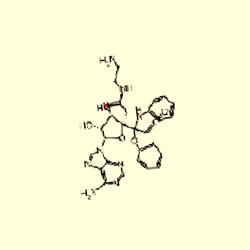 NCCNC(=O)C[C@]1(C(C=C=O)(Nc2ccccc2)Oc2ccccc2)O[C@@H](n2cnc3c(N)ncnc32)[C@H](O)[C@@H]1O